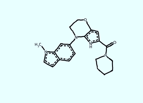 Cn1ccc2ccc(N3CCOc4cc(C(=O)N5CCCCC5)[nH]c43)cc21